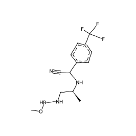 COBNC[C@H](C)NC(C#N)c1ccc(C(F)(F)F)cc1